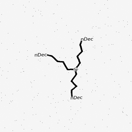 CCCCCCCCCCCCCC[Si](CCCCCCCCCCCCCC)CCCCCCCCCCCCCC